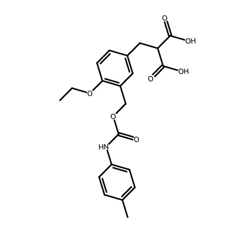 CCOc1ccc(CC(C(=O)O)C(=O)O)cc1COC(=O)Nc1ccc(C)cc1